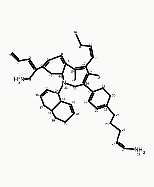 C=C/C=C(\CN)C1=CC=C2/C(C)=C(\C=C/CC)C(/C)=C(/C3=CC=C(CCC/C=C\N)CC3)CN(C3C=CCC4CCC=CC43)C2C1